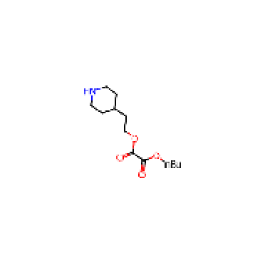 CCCCOC(=O)C(=O)OCCC1CCNCC1